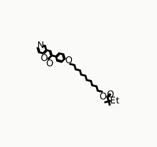 CCC(C)(C)C(=O)OCCCCCCCCCCCCOc1ccc(-c2cc3cnccc3oc2=O)cc1